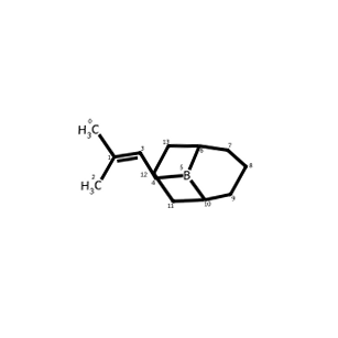 CC(C)=CCB1C2CCCC1CCC2